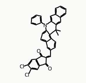 CC1(C)c2cc3ccccc3cc2N(c2ccccc2)c2ccc3cc(C=C4C(=O)c5cc(Cl)c(Cl)cc5C4=O)ccc3c21